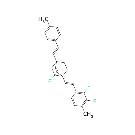 Cc1ccc(/C=C/C23C=C(F)C(/C=C/c4ccc(C)c(F)c4F)(CC2)CC3)cc1